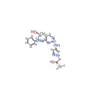 CN(C)C(=O)Cn1cc(Nc2ncc(Cl)c(NC(CO)c3ccccc3)n2)cn1